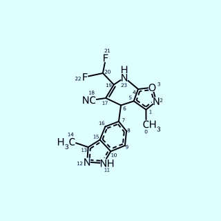 Cc1noc2c1C(c1ccc3[nH]nc(C)c3c1)C(C#N)=C(C(F)F)N2